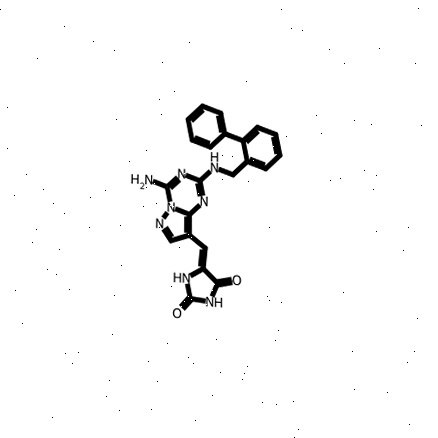 Nc1nc(NCc2ccccc2-c2ccccc2)nc2c(/C=C3\NC(=O)NC3=O)cnn12